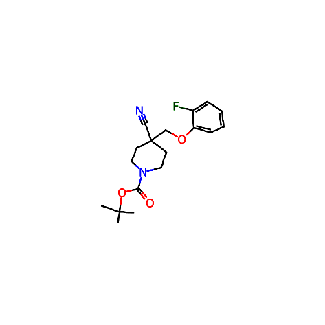 CC(C)(C)OC(=O)N1CCC(C#N)(COc2ccccc2F)CC1